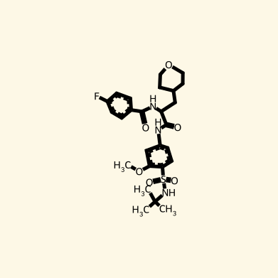 COc1cc(NC(=O)C(CC2CCOCC2)NC(=O)c2ccc(F)cc2)ccc1S(=O)(=O)NC(C)(C)C